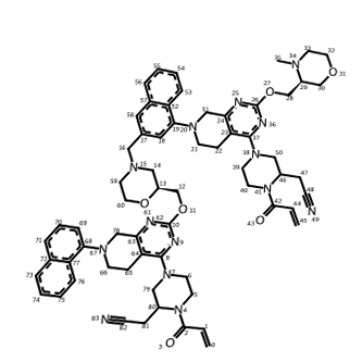 C=CC(=O)N1CCN(c2nc(OC[C@@H]3CN(Cc4cc(N5CCc6c(nc(OC[C@@H]7COCCN7C)nc6N6CCN(C(=O)C=C)C(CC#N)C6)C5)c5ccccc5c4)CCO3)nc3c2CCN(c2cccc4ccccc24)C3)CC1CC#N